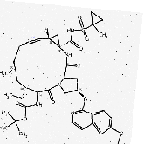 CC[C@@H]1C[C@H](C)CC/C=C\[C@@H]2C[C@@]2(C(=O)NS(=O)(=O)C2(C)CC2)NC(=O)C2C[C@@H](Oc3nccc4cc(OC)ccc34)CN2C(=O)[C@H]1NC(=O)OC(C)(C)C